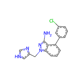 Nc1nn(Cc2c[nH]cn2)c2cccc(-c3cccc(Cl)c3)c12